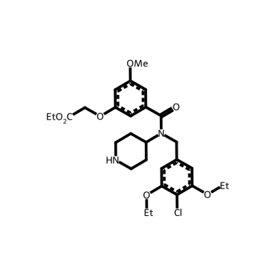 CCOC(=O)COc1cc(OC)cc(C(=O)N(Cc2cc(OCC)c(Cl)c(OCC)c2)C2CCNCC2)c1